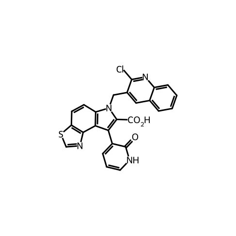 O=C(O)c1c(-c2ccc[nH]c2=O)c2c3ncsc3ccc2n1Cc1cc2ccccc2nc1Cl